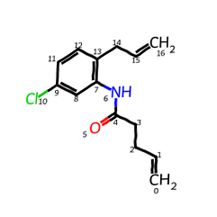 C=CCCC(=O)Nc1cc(Cl)ccc1CC=C